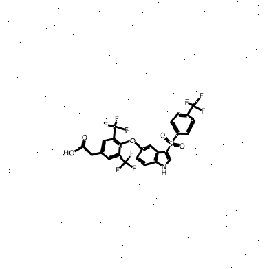 O=C(O)Cc1cc(C(F)(F)F)c(Oc2ccc3[nH]cc(S(=O)(=O)c4ccc(C(F)(F)F)cc4)c3c2)c(C(F)(F)F)c1